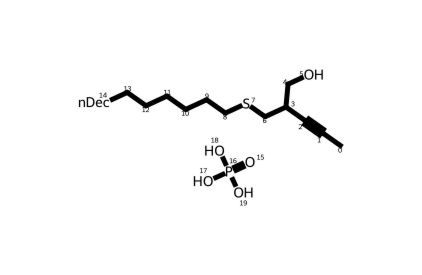 CC#CC(CO)CSCCCCCCCCCCCCCCCC.O=P(O)(O)O